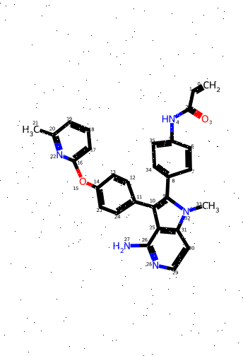 C=CC(=O)Nc1ccc(-c2c(-c3ccc(Oc4cccc(C)n4)cc3)c3c(N)nccc3n2C)cc1